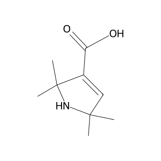 CC1(C)C=C(C(=O)O)C(C)(C)N1